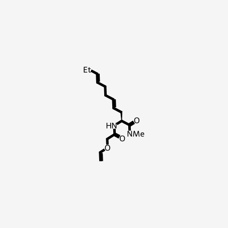 C=COCC(=O)N[C@@H](C/C=C/CC/C=C/CC)C(=O)NC